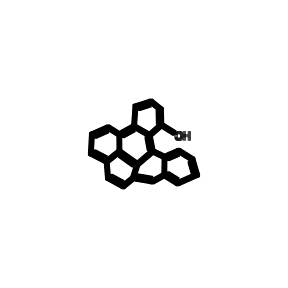 Oc1cccc2c3cccc4ccc5cc6ccccc6c(c12)c5c43